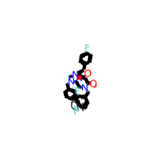 N#Cc1ccc(Cn2cnnc2CN(Cc2ccc(F)cc2F)C(=O)c2ccc(-c3ccc(F)cc3)o2)cc1